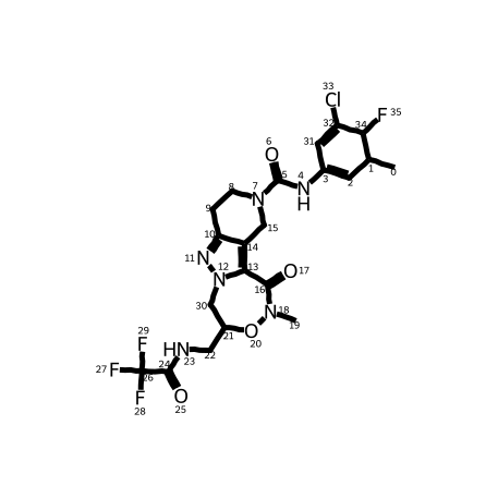 CC1C=C(NC(=O)N2CCc3nn4c(c3C2)C(=O)N(C)OC(CNC(=O)C(F)(F)F)C4)C=C(Cl)C1F